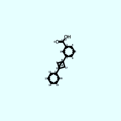 O=C(O)c1cccc(C23CC(c4ccccc4)(C2)C3)c1